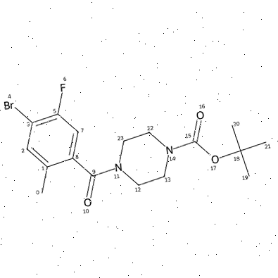 Cc1cc(Br)c(F)cc1C(=O)N1CCN(C(=O)OC(C)(C)C)CC1